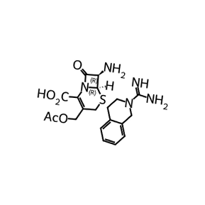 CC(=O)OCC1=C(C(=O)O)N2C(=O)[C@@H](N)[C@H]2SC1.N=C(N)N1CCc2ccccc2C1